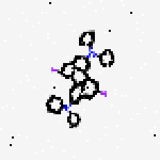 Ic1cc2cc(N(c3ccccc3)c3ccccc3)cc3c4cc(I)cc5cc(N(c6ccccc6)c6ccccc6)cc(c(c1)c23)c54